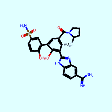 N=C(N)c1ccc2[nH]c(-c3cc(C(=O)N4CCCC4C(=O)O)cc(-c4cc(S(N)(=O)=O)ccc4O)c3O)nc2c1